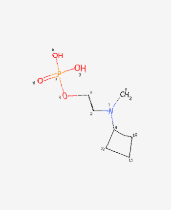 CN(CCOP(=O)(O)O)C1CCC1